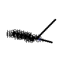 CCCCCCCCCCCCC/C=C/[C@@H](O)[C@H](CO[C@@H]1OC(CO)[C@@H](O[C@@H]2OC(CO)[C@H](O[C@@H]3OC(CO)[C@H](O)[C@H](O[C@H]4OC(CO)[C@H](O)[C@H](O[C@H]5OC(CO)[C@H](O)[C@H](O[C@H]6OC(CO)[C@H](O)[C@H](O)C6O)C5O)C4O)C3O)[C@H](O)C2O)[C@H](O)C1O)NC(=O)CCCCCCCCCCCCCCCCCCCCCCCCC